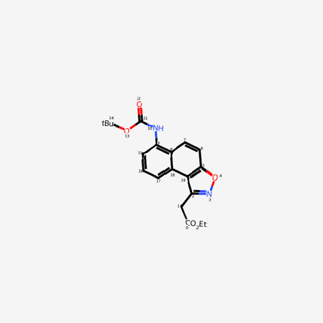 CCOC(=O)Cc1noc2ccc3c(NC(=O)OC(C)(C)C)cccc3c12